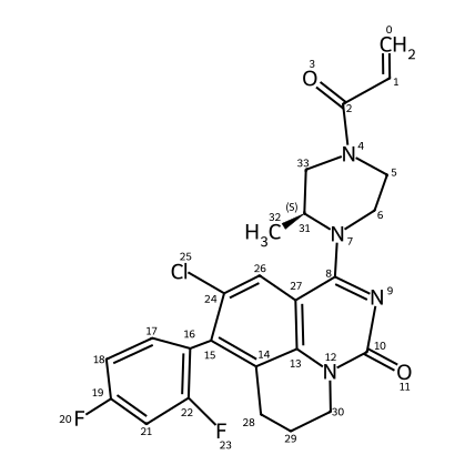 C=CC(=O)N1CCN(c2nc(=O)n3c4c(c(-c5ccc(F)cc5F)c(Cl)cc24)CCC3)[C@@H](C)C1